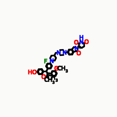 COc1cccc([C@@H]2C(c3ccc(N4CCC(CN5CCN(c6ccc7c(c6)CN([C@H]6CCC(=O)NC6=O)C7=O)CC5)CC4)c(F)c3)c3ccc(O)cc3OC2(C)C)c1